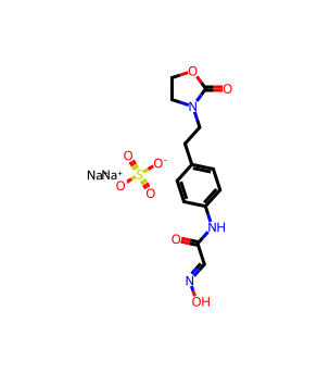 O=C(C=NO)Nc1ccc(CCN2CCOC2=O)cc1.O=S(=O)([O-])[O-].[Na+].[Na+]